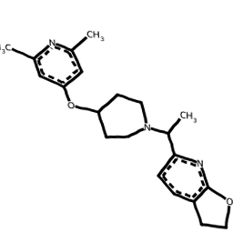 Cc1cc(OC2CCN(C(C)c3ccc4c(n3)OCC4)CC2)cc(C)n1